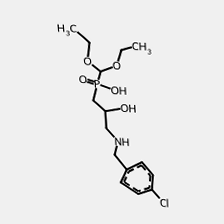 CCOC(OCC)P(=O)(O)CC(O)CNCc1ccc(Cl)cc1